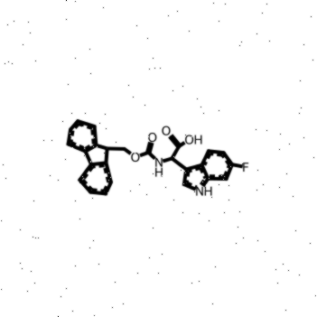 O=C(NC(C(=O)O)c1c[nH]c2cc(F)ccc12)OCC1c2ccccc2-c2ccccc21